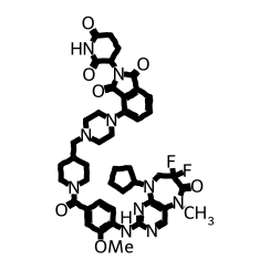 COc1cc(C(=O)N2CCC(CN3CCN(c4cccc5c4C(=O)N(C4CCC(=O)NC4=O)C5=O)CC3)CC2)ccc1Nc1ncc2c(n1)N(C1CCCC1)CC(F)(F)C(=O)N2C